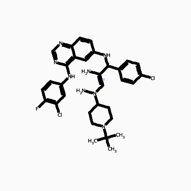 CC(C)(C)N1CCC(N(N)/C=C(\N)C(Nc2ccc3ncnc(Nc4ccc(F)c(Cl)c4)c3c2)c2ccc(Cl)cc2)CC1